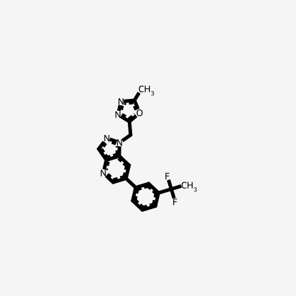 Cc1nnc(Cn2ncc3ncc(-c4cccc(C(C)(F)F)c4)cc32)o1